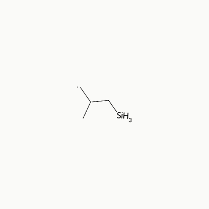 [CH2]C(C)C[SiH3]